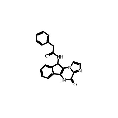 O=C(Cc1ccccc1)NC1c2ccccc2-c2[nH]c(=O)c3nccn3c21